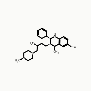 C[C@@H](CC[C@@H]1[C@H](C)c2cc(C(C)(C)C)ccc2N[C@@H]1C1C=CC=CC1)CN1CCN(C)CC1